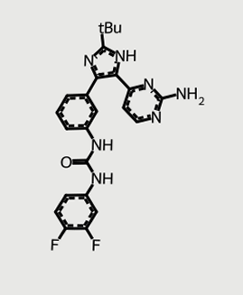 CC(C)(C)c1nc(-c2cccc(NC(=O)Nc3ccc(F)c(F)c3)c2)c(-c2ccnc(N)n2)[nH]1